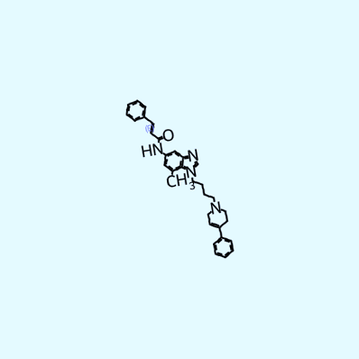 Cc1cc(NC(=O)/C=C/c2ccccc2)cc2ncn(CCCCN3CC=C(c4ccccc4)CC3)c12